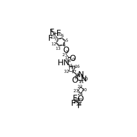 O=C(COc1ccc(C(F)(F)F)cc1)NC12CC(c3nnc([C@H]4C[C@@H](OC(F)(F)F)C4)o3)(C1)C2